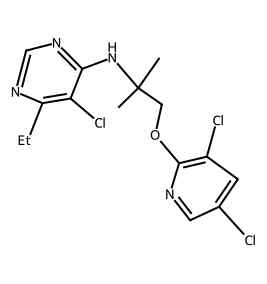 CCc1ncnc(NC(C)(C)COc2ncc(Cl)cc2Cl)c1Cl